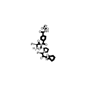 CC(C)C(C(=O)c1nc2ccccc2o1)N1CCC[C@H]1C(=O)N(C(=O)c1ccc(C(=O)NS(=O)(=O)C(C)C)cc1)C(=O)[C@@H](N)C(C)C